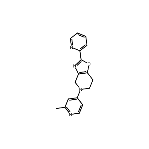 Cc1cc(N2CCc3oc(-c4ccccn4)nc3C2)ccn1